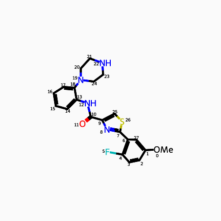 COc1ccc(F)c(-c2nc(C(=O)Nc3ccccc3N3CCNCC3)cs2)c1